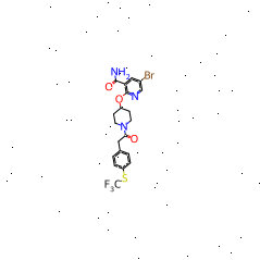 NC(=O)c1cc(Br)cnc1OC1CCN(C(=O)Cc2ccc(SC(F)(F)F)cc2)CC1